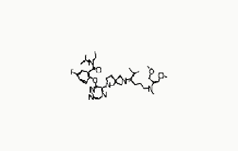 CCN(C(=O)c1cc(F)ccc1Oc1nncnc1N1CCC2(C1)CN([C@H](CCCN(C)C(COC)COC)C(C)C)C2)C(C)C